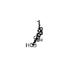 CC(C)CCCCC1CCC2C1(C)CCC1C3(C)CCC(OC(=O)NCCCC(=O)O)CC3=CCC12C